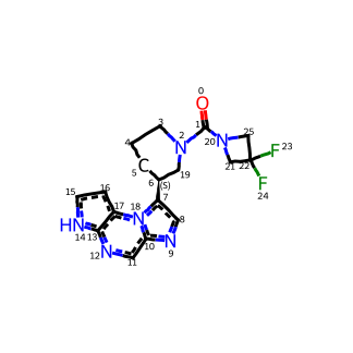 O=C(N1CCC[C@H](c2cnc3cnc4[nH]ccc4n23)C1)N1CC(F)(F)C1